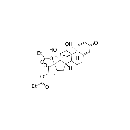 CCC(=O)OCC(=O)[C@]1(OC(=O)CC)[C@@H](C)C[C@H]2[C@@H]3CCC4=CC(=O)C=C[C@]4(C)[C@@]3(Cl)[C@@H](O)[C@@H](O)[C@@]21C